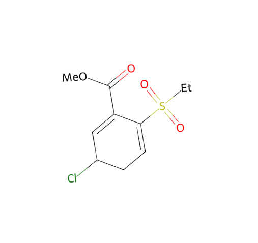 CCS(=O)(=O)C1=CCC(Cl)C=C1C(=O)OC